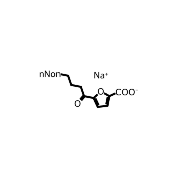 CCCCCCCCCCCCC(=O)c1ccc(C(=O)[O-])o1.[Na+]